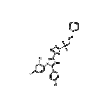 Cc1c(-c2nnc(C(C)(C)COCc3ccccc3)o2)nn(-c2ccc(Cl)cc2Cl)c1-c1ccc(Cl)cc1